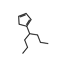 CCCC(CCC)C1=CC=CC1